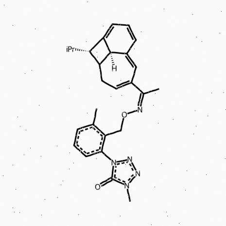 C/C(=N/OCc1c(C)cccc1-n1nnn(C)c1=O)C1=CCC2[C@@H]3C(=C1)C=CC=C3[C@H]2C(C)C